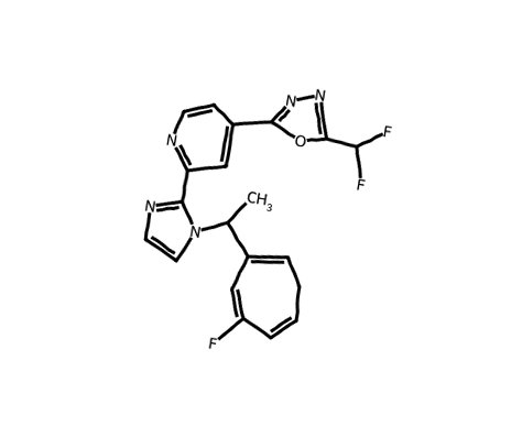 CC(C1=CCC=CC(F)=C1)n1ccnc1-c1cc(-c2nnc(C(F)F)o2)ccn1